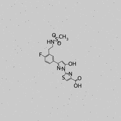 CS(=O)(=O)NCCc1cc(-c2cc(O)n(-c3nc(C(=O)O)cs3)n2)ccc1F